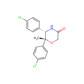 C[C@]1(c2ccc(Cl)cc2)OCC(=O)N[C@H]1c1ccc(Cl)cc1